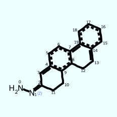 N/N=C1\C=c2ccc3c(c2CC1)CC=c1ccccc1=3